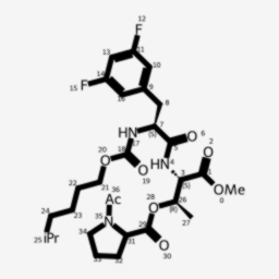 COC(=O)[C@@H](NC(=O)[C@H](Cc1cc(F)cc(F)c1)NC(=O)OCCCCC(C)C)[C@@H](C)OC(=O)C1CCCN1C(C)=O